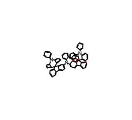 c1ccc(-c2ccccc2N(c2ccc3c(c2)C2(c4ccccc4-3)c3ccccc3N(c3ccccc3)c3ccccc32)c2ccc3c(c2)C2(c4ccccc4-3)c3ccccc3N(c3ccccc3)c3ccccc32)cc1